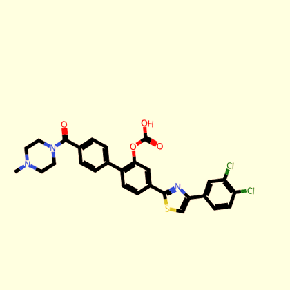 CN1CCN(C(=O)c2ccc(-c3ccc(-c4nc(-c5ccc(Cl)c(Cl)c5)cs4)cc3OC(=O)O)cc2)CC1